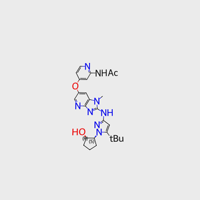 CC(=O)Nc1cc(Oc2cnc3nc(Nc4cc(C(C)(C)C)n([C@H]5CCC[C@H]5O)n4)n(C)c3c2)ccn1